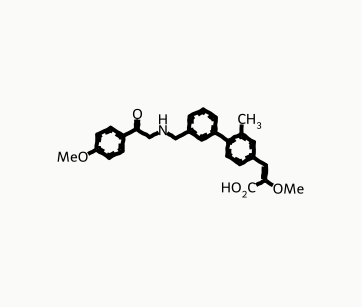 CO/C(=C/c1ccc(-c2cccc(CNCC(=O)c3ccc(OC)cc3)c2)c(C)c1)C(=O)O